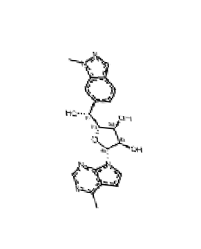 Cc1ncnc2c1ccn2[C@@H]1O[C@H]([C@H](O)c2ccc3cnn(C)c3c2)[C@@H](O)[C@H]1O